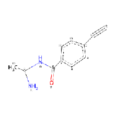 [C]#Cc1ccc(C(=O)NC(C)N)cc1